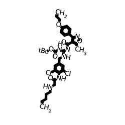 C=CCCCNCC(=O)Nc1c(Cl)cc(CN/C(=N/C(=O)c2c(-c3ccc(OCC=C)cc3)noc2C)NC(=O)OC(C)(C)C)cc1Cl